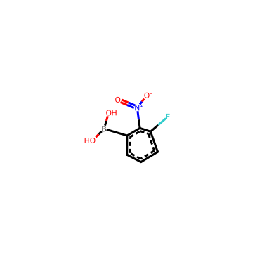 O=[N+]([O-])c1c(F)cccc1B(O)O